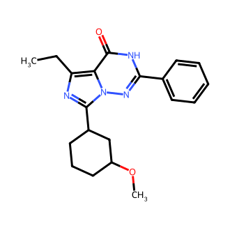 CCc1nc(C2CCCC(OC)C2)n2nc(-c3ccccc3)[nH]c(=O)c12